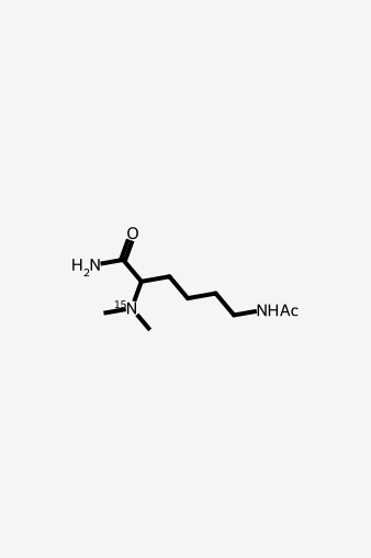 CC(=O)NCCCCC(C(N)=O)[15N](C)C